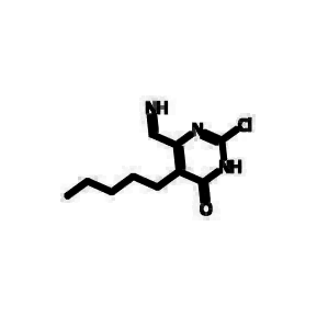 CCCCCc1c(C=N)nc(Cl)[nH]c1=O